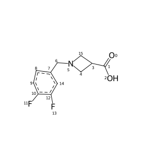 O=C(O)C1CN(Cc2ccc(F)c(F)c2)C1